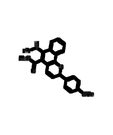 CCCNc1c(C(=O)OC)c2c(c3ccccc13)OC(c1ccc(OC)cc1)C=C2